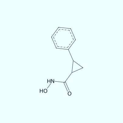 O=C(NO)C1CC1c1ccccc1